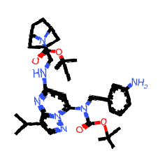 CC(C)c1cnn2c(N(Cc3cccc(N)c3)C(=O)OC(C)(C)C)cc(NCC3CC4CCC(C3)N4C(=O)OC(C)(C)C)nc12